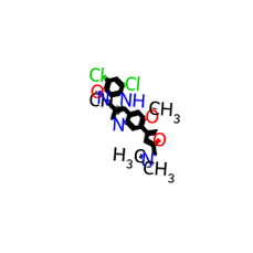 COc1cc(Nc2c(C#N)cnc3cc(-c4coc(CN(C)C)c4)c(OC)cc23)c(Cl)cc1Cl